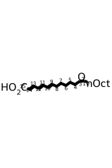 CCCCCCCCC1OC1CCCCCC=CC=CC=CC(=O)O